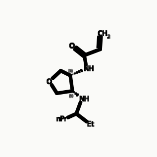 C=CC(=O)N[C@H]1COC[C@H]1NC(CC)CCC